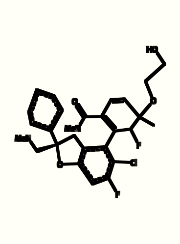 CNC[C@@]1(c2ccccc2)Cc2c(cc(F)c(Cl)c2C2=C(C(=O)NC)C=CC(C)(OCCO)C2F)O1